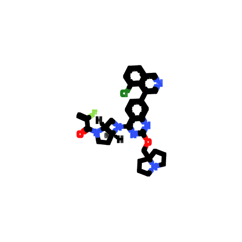 C=C(F)C(=O)N1CC[C@H]2[C@H]1CN2c1nc(OCC23CCCN2CCC3)nc2cc(-c3cncc4cccc(Cl)c34)ccc12